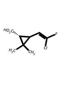 CC1(C)C(C=C(F)Cl)[C@H]1C(=O)O